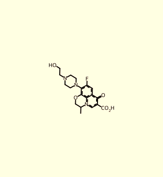 CC1COc2c(N3CCN(CCO)CC3)c(F)cc3c(=O)c(C(=O)O)cn1c23